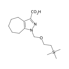 C[Si](C)(C)CCOCn1nc(C(=O)O)c2c1CCCCC2